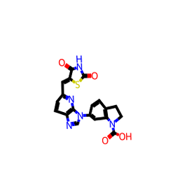 O=C1NC(=O)C(=Cc2ccc3ncn(-c4ccc5c(c4)N(C(=O)O)CC5)c3n2)S1